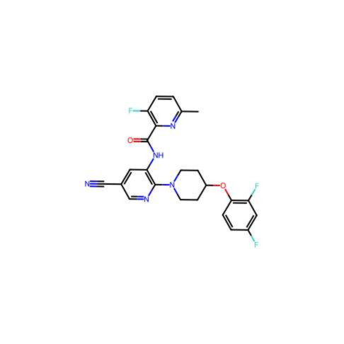 Cc1ccc(F)c(C(=O)Nc2cc(C#N)cnc2N2CCC(Oc3ccc(F)cc3F)CC2)n1